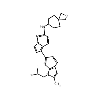 Cc1nc2ccc(-c3ccn4nc(NC5CCC6(CC5)COC6)ncc34)nc2n1CC(F)F